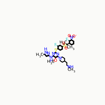 CNCCC1CCN(c2nc(Sc3ccc(S(=O)(=O)C(C)(C)c4cccc([N+](=O)[O-])c4F)cc3F)nc(Nc3cc(C)[nH]n3)c2OC)CC1